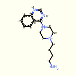 NCCCCN1CCN(c2ncnc3ccccc23)CC1